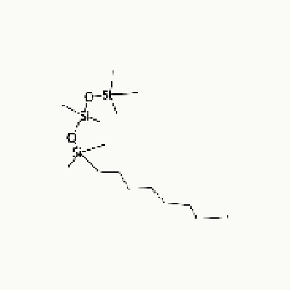 [CH2]CCCCCCC[Si](C)(C)O[Si](C)(C)O[Si](C)(C)C